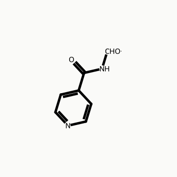 O=[C]NC(=O)c1ccncc1